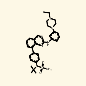 CCN1CCN(c2cccc(Nc3ncc4cccc(-c5ccc(N(C(C)(C)C)S(N)(=O)=O)cc5)c4n3)c2)CC1